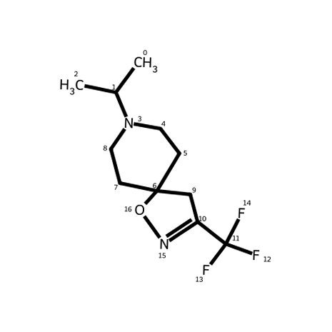 CC(C)N1CCC2(CC1)CC(C(F)(F)F)=NO2